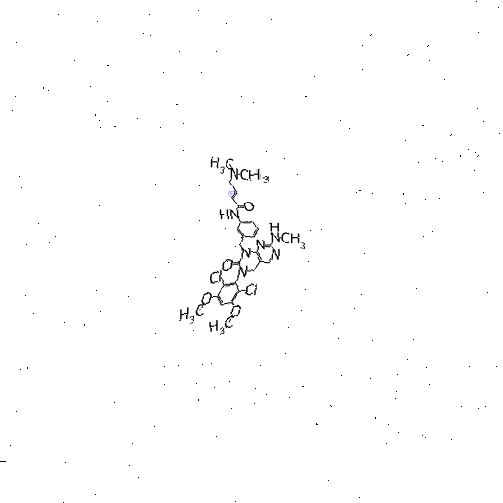 CNc1ncc2c(n1)N(Cc1cccc(NC(=O)/C=C/CN(C)C)c1)C(=O)N(c1c(Cl)c(OC)cc(OC)c1Cl)C2